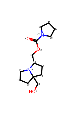 O=C(OC[C@H]1CCC2(CO)CCCN12)N1CCCC1